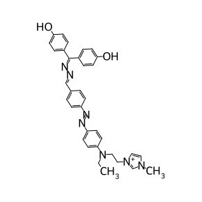 CCN(CC[n+]1ccn(C)c1)c1ccc(/N=N/c2ccc(/C=N/N=C(c3ccc(O)cc3)c3ccc(O)cc3)cc2)cc1